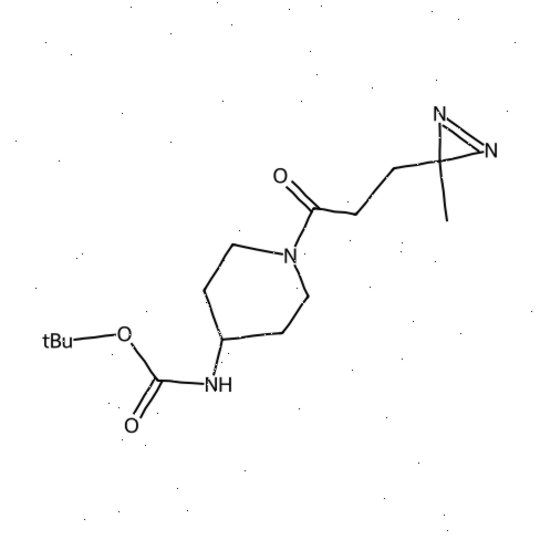 CC1(CCC(=O)N2CCC(NC(=O)OC(C)(C)C)CC2)N=N1